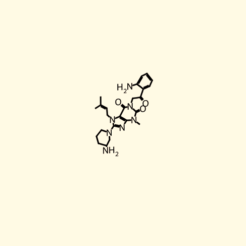 CC(C)=CCn1c(N2CCCC(N)C2)nc2c1c(=O)n(CC(=O)c1ccccc1N)c(=O)n2C